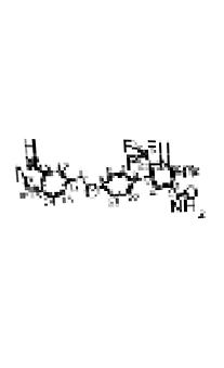 NC(=O)c1cc(-c2ccc(OCc3ccc4cn[nH]c4c3)cc2)c(C(F)(F)F)[nH]c1=O